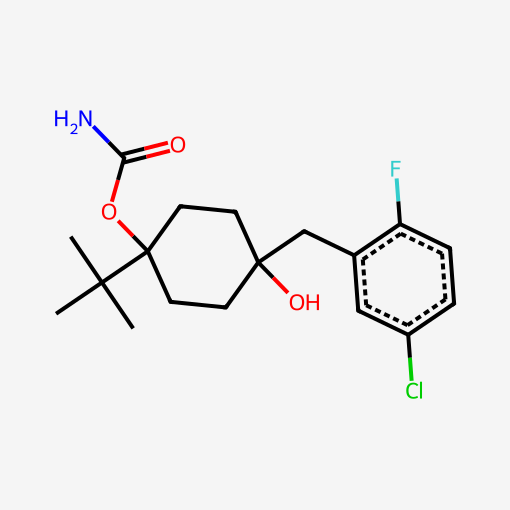 CC(C)(C)C1(OC(N)=O)CCC(O)(Cc2cc(Cl)ccc2F)CC1